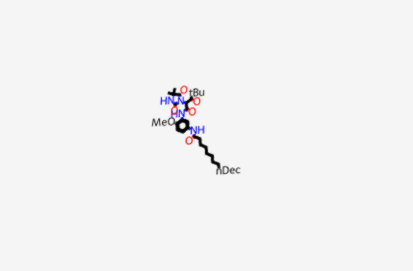 CCCCCCCCCCCCCCCCCC(=O)Nc1ccc(OC)c(NC(=O)C(C(=O)C(C)(C)C)N2C(=O)NC(C)(C)C2=O)c1